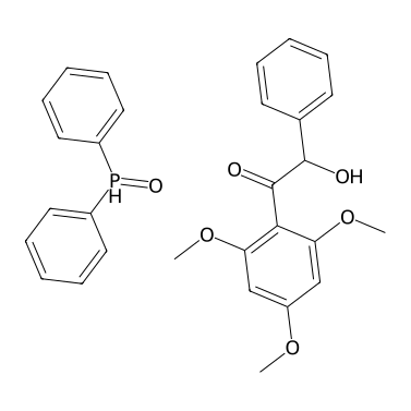 COc1cc(OC)c(C(=O)C(O)c2ccccc2)c(OC)c1.O=[PH](c1ccccc1)c1ccccc1